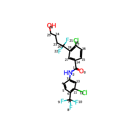 O=C(Nc1ccc(C(F)(F)F)c(Cl)c1)c1ccc(Cl)c(C(F)(F)CCCO)c1